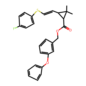 CC1(C)C(/C=C/Sc2ccc(F)cc2)C1C(=O)OCc1cccc(Oc2ccccc2)c1